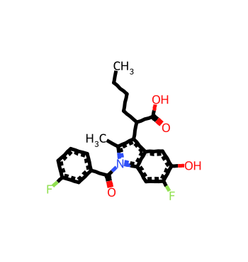 CCCCC(C(=O)O)c1c(C)n(C(=O)c2cccc(F)c2)c2cc(F)c(O)cc12